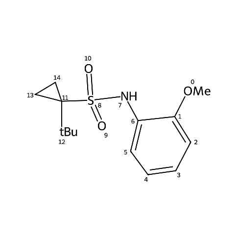 COc1ccccc1NS(=O)(=O)C1(C(C)(C)C)CC1